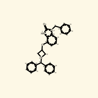 O=c1[nH]c2c(OC3CN(C(c4ccccc4)c4ccccc4)C3)cccc2n1Cc1ccccc1